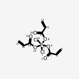 C=CC(=O)OP(Cl)(Cl)(OC(=O)C=C)OC(=O)C=C